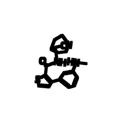 CNc1cccc(-c2ccsc2C(=O)NC2CN3CCC2CC3)c1